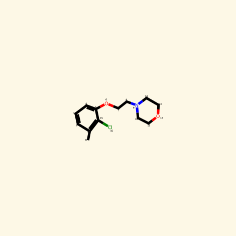 Cc1cccc(OCCN2CCOCC2)c1Cl